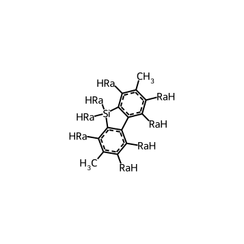 Cc1[c]([RaH])[c]([RaH])c2c([c]1[RaH])[Si]([RaH])([RaH])c1[c]([RaH])c(C)[c]([RaH])[c]([RaH])c1-2